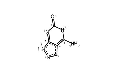 NC1=c2cn[nH]c2=NC(=O)[N]1